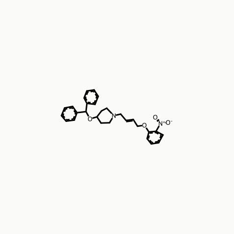 O=[N+]([O-])c1ccccc1OCC=CCN1CCC(OC(c2ccccc2)c2ccccc2)CC1